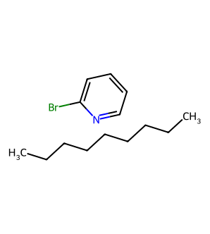 Brc1ccccn1.CCCCCCCCC